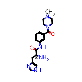 CN1CCN(C(=O)c2cccc(NC(=O)[C@@H](N)Cc3c[nH]cn3)c2)CC1